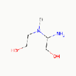 CCN(CCO)C(N)CO